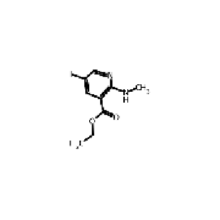 CCOC(=O)c1cc(I)cnc1NC